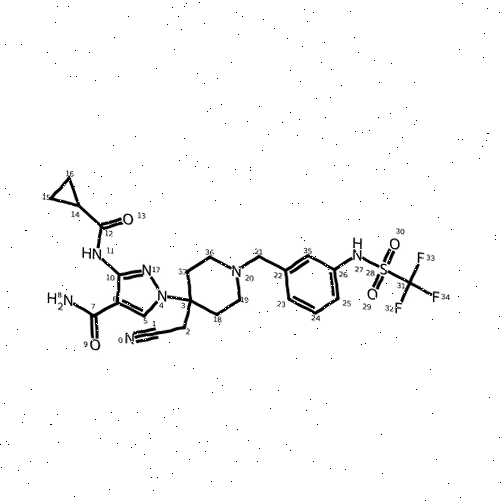 N#CCC1(n2cc(C(N)=O)c(NC(=O)C3CC3)n2)CCN(Cc2cccc(NS(=O)(=O)C(F)(F)F)c2)CC1